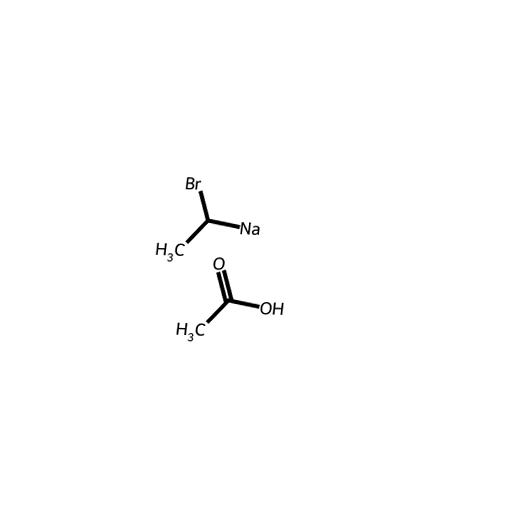 CC(=O)O.C[CH]([Na])Br